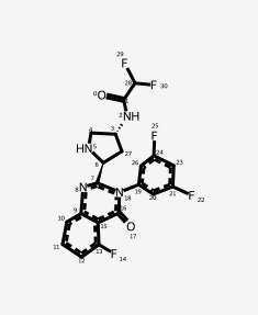 O=C(N[C@H]1CN[C@H](c2nc3cccc(F)c3c(=O)n2-c2cc(F)cc(F)c2)C1)C(F)F